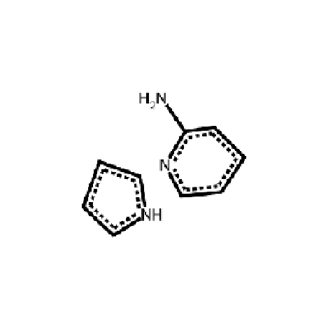 Nc1ccccn1.c1cc[nH]c1